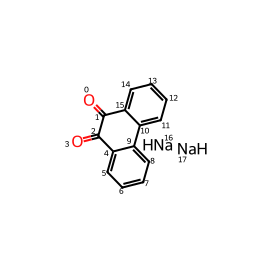 O=C1C(=O)c2ccccc2-c2ccccc21.[NaH].[NaH]